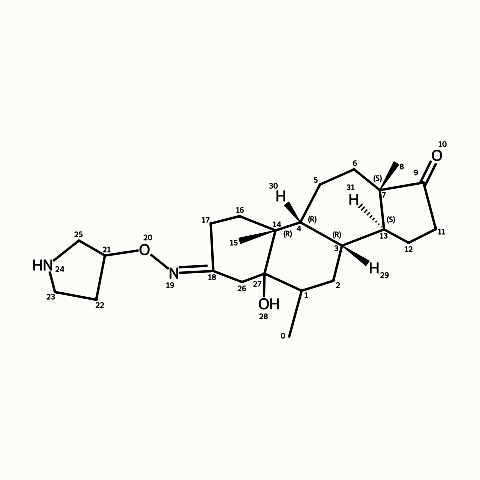 CC1C[C@@H]2[C@@H](CC[C@]3(C)C(=O)CC[C@@H]23)[C@@]2(C)CCC(=NOC3CCNC3)CC12O